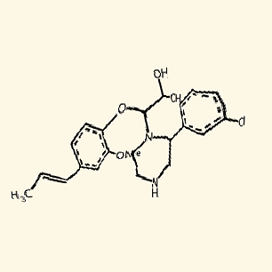 CC=Cc1ccc(OC(C(C)O)N2CCNCC2c2cccc(Cl)c2)c(OC)c1